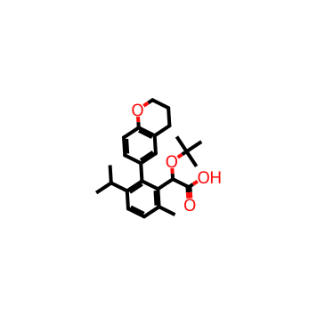 Cc1ccc(C(C)C)c(-c2ccc3c(c2)CCCO3)c1C(OC(C)(C)C)C(=O)O